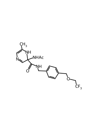 CC(=O)NC1(C(=O)NCc2ccc(COCC(F)(F)F)cc2)C=NC=C(C)N1